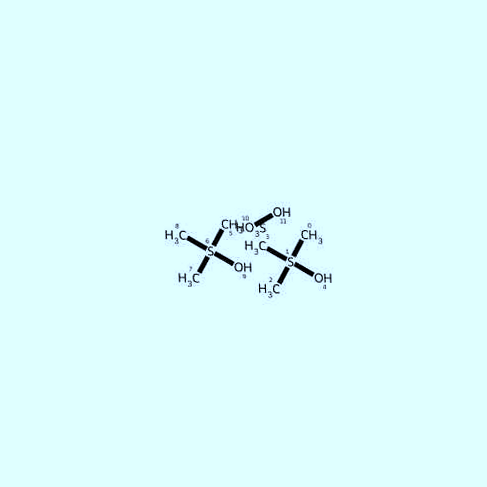 CS(C)(C)O.CS(C)(C)O.O=S(=O)(O)O